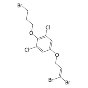 Clc1cc(OCC=C(Br)Br)cc(Cl)c1OCCCBr